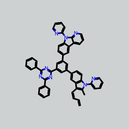 C=C/C=C\c1c(C)n(-c2ccccn2)c2ccc(-c3cc(-c4ccc5c(c4)c4cccnc4n5-c4ccccn4)cc(-c4nc(-c5ccccc5)nc(-c5ccccc5)n4)c3)cc12